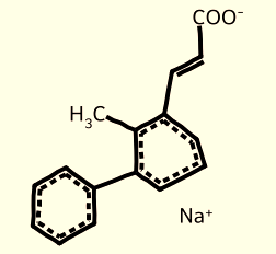 Cc1c(C=CC(=O)[O-])cccc1-c1ccccc1.[Na+]